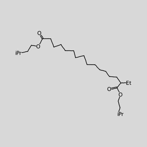 CCC(CCCCCCCCCCCCCC(=O)OCCC(C)C)C(=O)OCCC(C)C